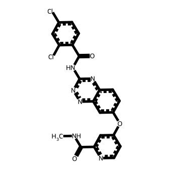 CNC(=O)c1cc(Oc2ccc3nc(NC(=O)c4ccc(Cl)cc4Cl)nnc3c2)ccn1